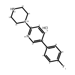 Cl.Fc1ccc(-c2ccc(N3CCNCC3)nc2)cc1